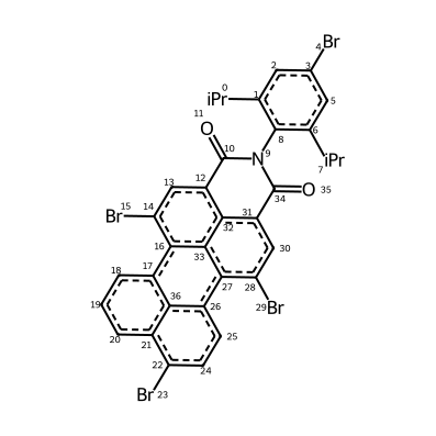 CC(C)c1cc(Br)cc(C(C)C)c1N1C(=O)c2cc(Br)c3c4cccc5c(Br)ccc(c6c(Br)cc(c2c36)C1=O)c54